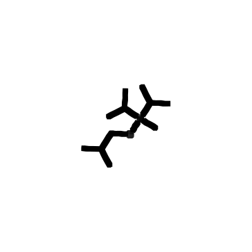 CC(C)CO[Si](C)(C(C)C)C(C)C